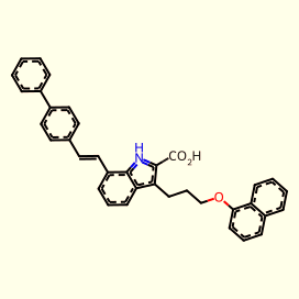 O=C(O)c1[nH]c2c(/C=C/c3ccc(-c4ccccc4)cc3)cccc2c1CCCOc1cccc2ccccc12